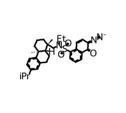 CCN(C[C@@]1(C)CCC[C@]2(C)c3ccc(C(C)C)cc3CC[C@@H]12)S(=O)(=O)c1cccc2c1C=CC(=[N+]=[N-])C2=O